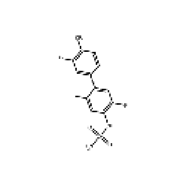 NS(=O)(=O)Nc1cc(F)c(-c2ccc(C(F)(F)F)c(F)c2)cc1F